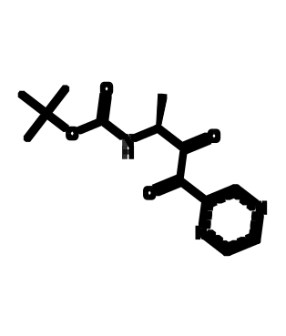 C[C@H](NC(=O)OC(C)(C)C)C(=O)C(=O)c1cnccn1